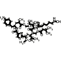 CCOC(=O)C(C)C[C@H](Cc1ccc(N)cc1)NC(=O)c1csc([C@@H](C[C@H](C(C)C)N(COC(=O)CC(C)C)C(=O)[C@@H](NC(=O)CCCCCNC)[C@@H](C)CC)OC)n1